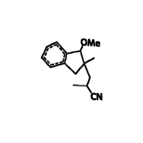 COC1c2ccccc2CC1(C)CC(C)C#N